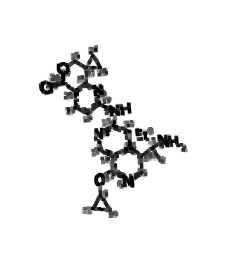 CC[C@@](C)(N)c1cnc(OC2CC2)c2cnc(Nc3ccc4c(n3)C3(CC3)COC4=O)cc12